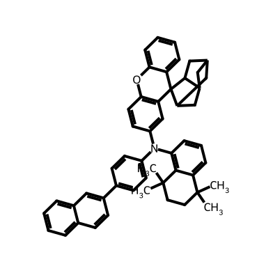 CC1(C)CCC(C)(C)c2c(N(c3ccc(-c4ccc5ccccc5c4)cc3)c3ccc4c(c3)C3(c5ccccc5O4)C4CC5CC(C4)C3C5)cccc21